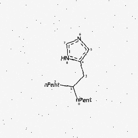 CCCCCC(CCCCC)Cc1cnc[nH]1